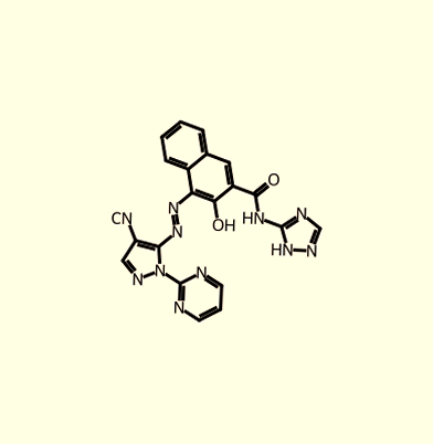 [C-]#[N+]c1cnn(-c2ncccn2)c1/N=N/c1c(O)c(C(=O)Nc2ncn[nH]2)cc2ccccc12